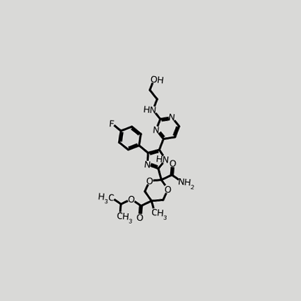 CC(C)OC(=O)C1(C)COC(C(N)=O)(c2nc(-c3ccc(F)cc3)c(-c3ccnc(NCCO)n3)[nH]2)OC1